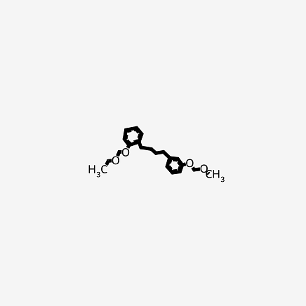 CCOCOc1ccccc1CCCCc1cccc(OCOC)c1